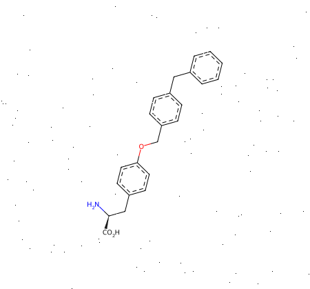 N[C@@H](Cc1ccc(OCc2ccc(Cc3ccccc3)cc2)cc1)C(=O)O